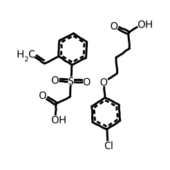 C=Cc1ccccc1S(=O)(=O)CC(=O)O.O=C(O)CCCOc1ccc(Cl)cc1